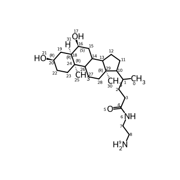 CC(CCC(=O)NCCN)C1CCC2C3C[C@H](O)[C@@H]4C[C@H](O)CC[C@]4(C)C3CC[C@]12C